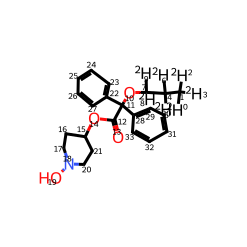 [2H]C([2H])([2H])C([2H])([2H])C([2H])([2H])OC(C(=O)OC1CCN(O)CC1)(c1ccccc1)c1ccccc1